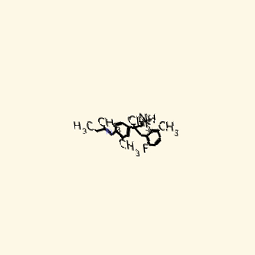 CC/C(C)=C/c1ccc(C(C)(C=N)Cc2c(F)ccc(C)c2F)cc1C